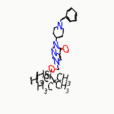 C[SiH](OCN1C=C2C(=O)N(C3CCN(Cc4ccccc4)CC3)CN2C1)C(C)(C)C